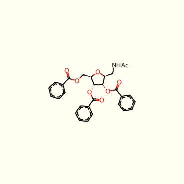 CC(=O)NC[C@@H]1O[C@H](COC(=O)c2ccccc2)[C@@H](OC(=O)c2ccccc2)[C@H]1OC(=O)c1ccccc1